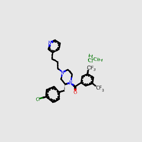 Cl.Cl.O=C(c1cc(C(F)(F)F)cc(C(F)(F)F)c1)N1CCN(CCCc2cccnc2)C[C@H]1Cc1ccc(Cl)cc1